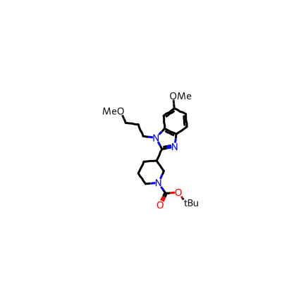 COCCCn1c(C2CCCN(C(=O)OC(C)(C)C)C2)nc2ccc(OC)cc21